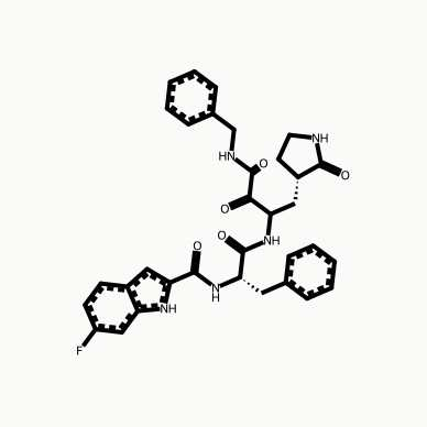 O=C(NCc1ccccc1)C(=O)C(C[C@@H]1CCNC1=O)NC(=O)[C@H](Cc1ccccc1)NC(=O)c1cc2ccc(F)cc2[nH]1